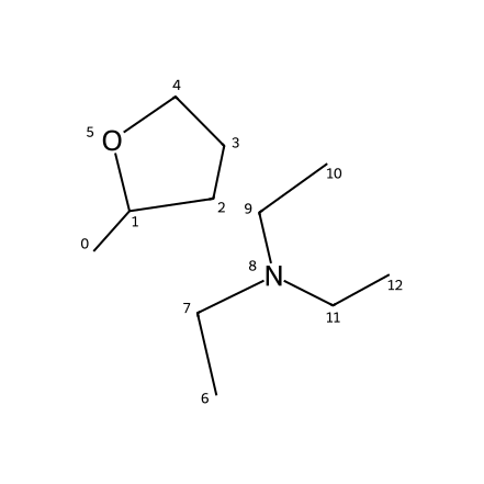 CC1CCCO1.CCN(CC)CC